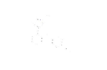 CCOC(=O)Cn1cnc(-c2ccccc2Nc2ccc(C(F)(F)P)cc2)c1